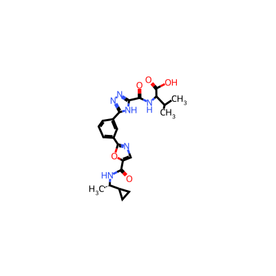 CC(C)C(NC(=O)c1nnc(-c2cccc(-c3ncc(C(=O)N[C@@H](C)C4CC4)o3)c2)[nH]1)C(=O)O